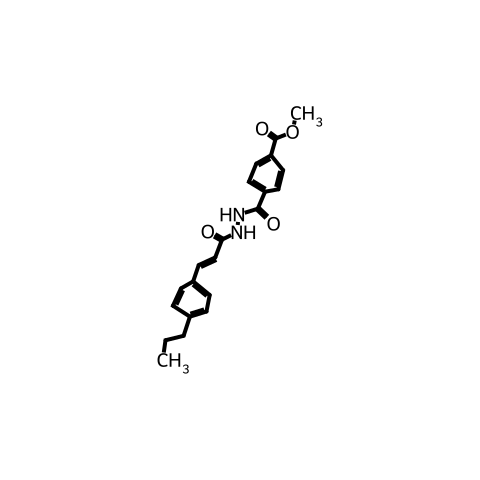 CCCc1ccc(/C=C/C(=O)NNC(=O)c2ccc(C(=O)OC)cc2)cc1